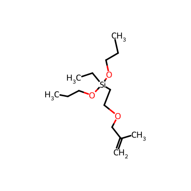 C=C(C)COCC[Si](CC)(OCCC)OCCC